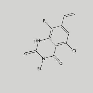 C=Cc1cc(Cl)c2c(=O)n(CC)c(=O)[nH]c2c1F